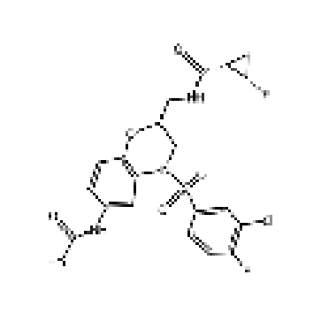 O=C(O)Nc1ccc2c(c1)N(S(=O)(=O)c1ccc(F)c(Cl)c1)CC(CNC(=O)[C@@H]1C[C@@H]1F)O2